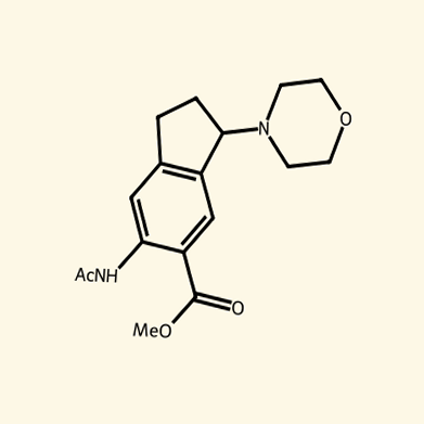 COC(=O)c1cc2c(cc1NC(C)=O)CCC2N1CCOCC1